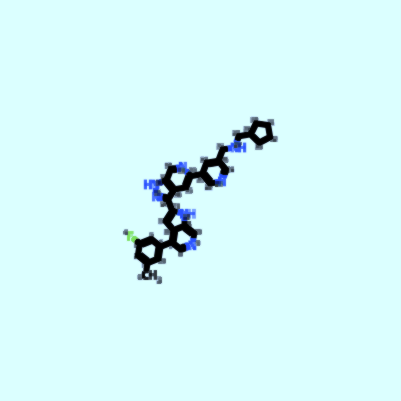 Cc1cc(F)cc(-c2cncc3[nH]c(-c4n[nH]c5cnc(-c6cncc(CNCC7CCCC7)c6)cc45)cc23)c1